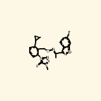 CC(=NOCc1c(C2CC2)cccc1-n1nnn(C)c1=O)c1noc2cc(F)ccc12